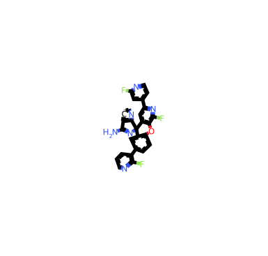 NC1=NC2(c3cc(-c4cccnc4F)ccc3Oc3c2cc(-c2ccnc(F)c2)nc3F)c2ncccc21